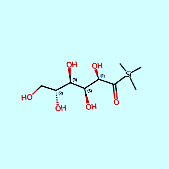 C[Si](C)(C)C(=O)[C@H](O)[C@@H](O)[C@H](O)[C@H](O)CO